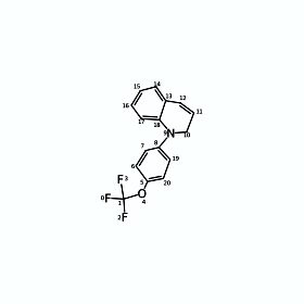 FC(F)(F)Oc1ccc(N2CC=Cc3ccccc32)cc1